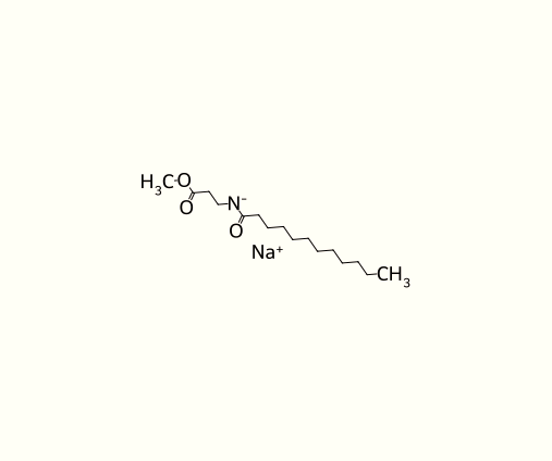 CCCCCCCCCCCC(=O)[N-]CCC(=O)OC.[Na+]